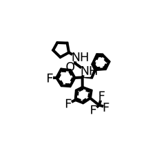 O=C(NC1CCCC1)N[C@@](Cc1ccccc1)(c1ccc(F)cc1)c1cc(F)cc(C(F)(F)F)c1